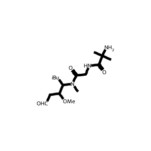 CCC(C)C(C(CC=O)OC)N(C)C(=O)CNC(=O)C(C)(C)N